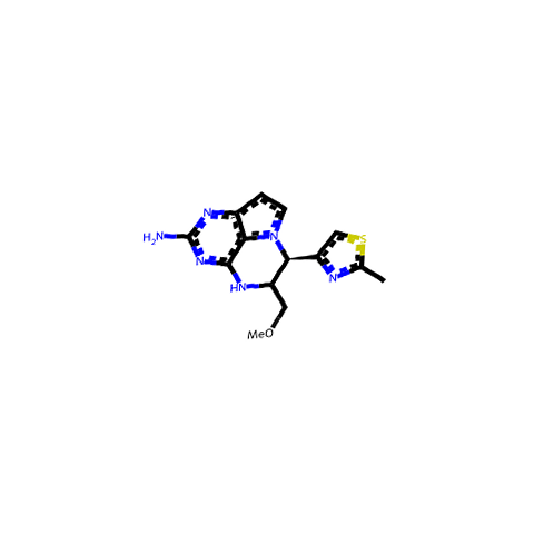 COCC1Nc2nc(N)nc3ccn(c23)[C@H]1c1csc(C)n1